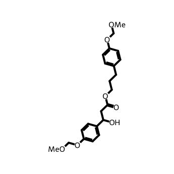 COCOc1ccc(CCCOC(=O)CC(O)c2ccc(OCOC)cc2)cc1